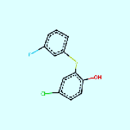 Oc1ccc(Cl)cc1Sc1cccc(F)c1